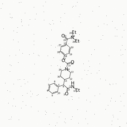 CCNC(=O)C(c1ccccc1)C1CCN(C(=O)Oc2ccc(C(=O)N(CC)CC)cc2)CC1